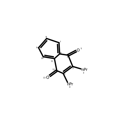 CCCC1=C(CCC)C(=O)c2ccccc2C1=O